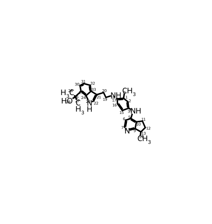 Cc1cc(Nc2ccnc3c2CCC3C)ccc1NCCc1c[nH]c2c(C(C)(C)O)cccc12